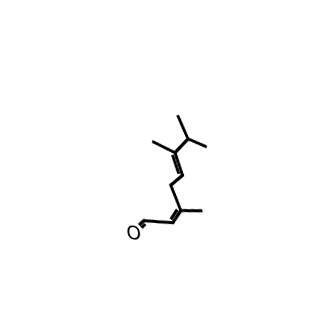 C/C(=C/C=O)C/C=C(\C)C(C)C